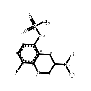 CCCN(CCC)C1COc2c(F)ccc(OS(=O)(=O)C(F)(F)F)c2C1